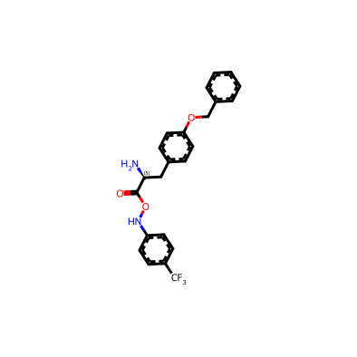 N[C@@H](Cc1ccc(OCc2ccccc2)cc1)C(=O)ONc1ccc(C(F)(F)F)cc1